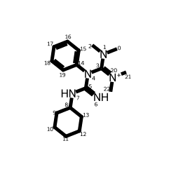 CN(C)C(N(C(=N)NC1CCCCC1)c1ccccc1)=[N+](C)C